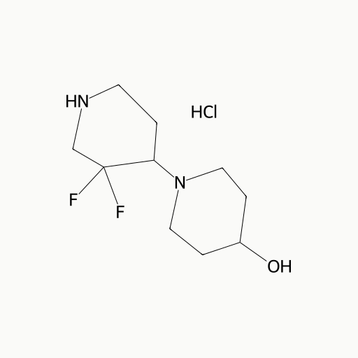 Cl.OC1CCN(C2CCNCC2(F)F)CC1